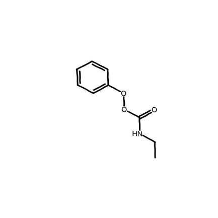 CCNC(=O)OOc1ccccc1